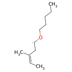 CC=C(C)C[CH]OCCCCC